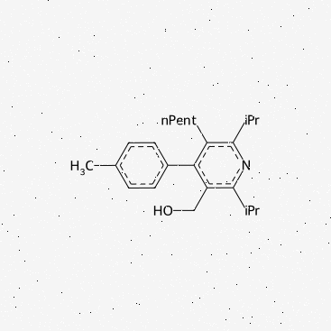 CCCCCc1c(C(C)C)nc(C(C)C)c(CO)c1-c1ccc(C)cc1